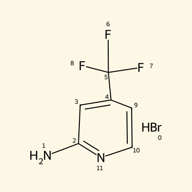 Br.Nc1cc(C(F)(F)F)ccn1